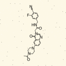 CC(=O)N1CCN(c2ccc3ncn(CC(=O)NCc4ccc(C#N)c(F)c4)c(=O)c3c2)CC1